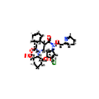 O=C(NOCc1ccccn1)C1c2ccccc2C(=O)N([C@H]2[C@H](O)CCC[C@@H]2O)[C@H]1C1=CC=C(Cl)C1